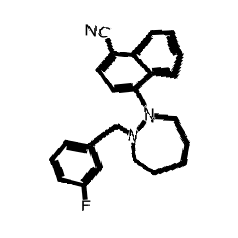 N#Cc1ccc(N2CCCCCN2Cc2cccc(F)c2)c2ccccc12